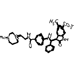 CC(=O)N1CCCN(CCNC(=O)c2ccc(NC(=C3C(=O)Nc4cc(C(=O)O)c(C)cc43)c3ccccc3)cc2)CC1